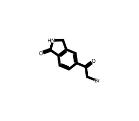 O=C(CBr)c1ccc2c(c1)CNC2=O